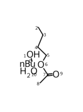 CCCCO.CCCCOC(C)=O.O